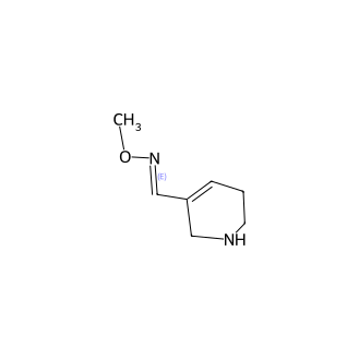 CO/N=C/C1=CCCNC1